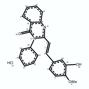 COc1ccc(/C=C/c2nc3ccccc3c(=O)n2-c2ccccc2)cc1O.Cl